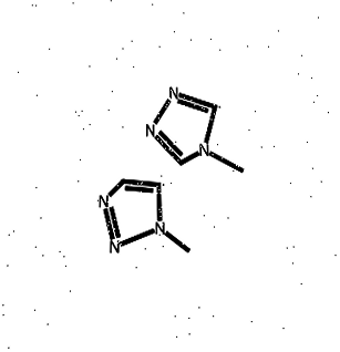 Cn1[c]cnn1.Cn1[c]nnc1